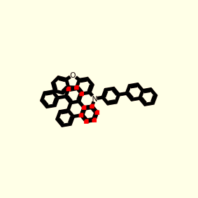 c1ccc(-c2ccccc2-c2c(-c3ccccc3)cccc2-c2ccccc2N(c2ccc(-c3ccc4ccccc4c3)cc2)c2ccc3oc4ccccc4c3c2)cc1